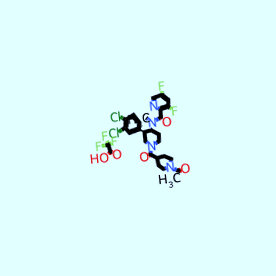 CC(=O)N1CCC(C(=O)N2CC[C@@H](N(C)C(=O)c3ncc(F)cc3F)[C@H](c3ccc(Cl)c(Cl)c3)C2)CC1.O=C(O)C(F)(F)F